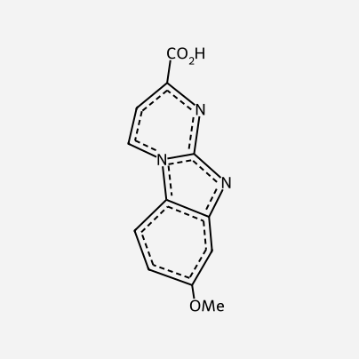 COc1ccc2c(c1)nc1nc(C(=O)O)ccn12